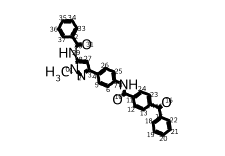 Cn1nc(-c2ccc(NC(=O)c3ccc(C(=O)c4ccccc4)cc3)cc2)cc1NC(=O)c1ccccc1